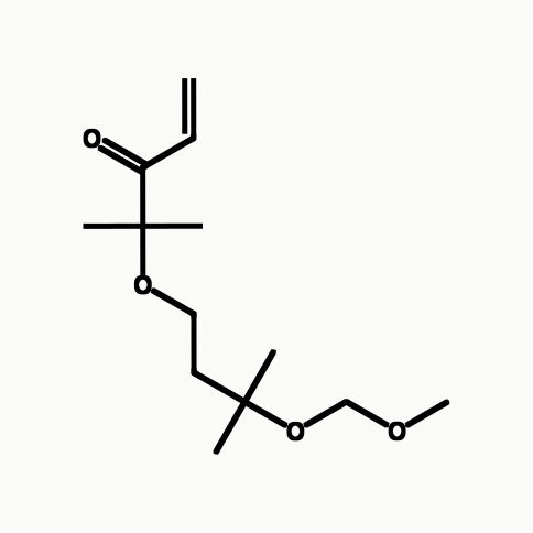 C=CC(=O)C(C)(C)OCCC(C)(C)OCOC